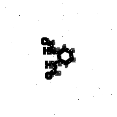 O=CN[C@H]1CCCC[C@@H]1NC=O